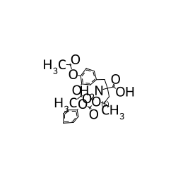 CC(=O)Oc1ccc(CC(N)(C[C@H](C)OC(=O)Oc2ccccc2)C(=O)O)cc1OC(C)=O